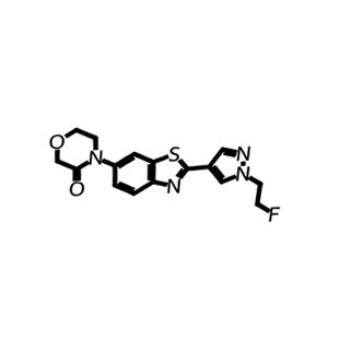 O=C1COCCN1c1ccc2nc(-c3cnn(CCF)c3)sc2c1